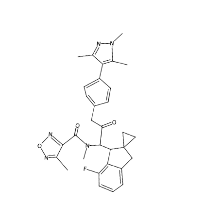 Cc1nonc1C(=O)N(C)C(C(=O)Cc1ccc(-c2c(C)nn(C)c2C)cc1)C1c2c(F)cccc2CC12CC2